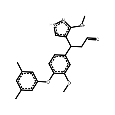 CNc1n[nH]cc1C(CC=O)c1ccc(Oc2cc(C)cc(C)c2)c(OC)c1